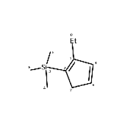 CCC1=C([Si](C)(C)C)CC=C1